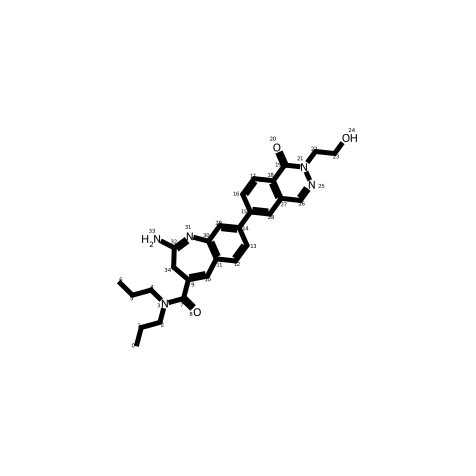 CCCN(CCC)C(=O)C1=Cc2ccc(-c3ccc4c(=O)n(CCO)ncc4c3)cc2N=C(N)C1